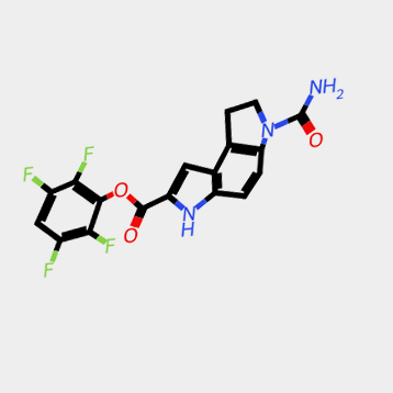 NC(=O)N1CCc2c1ccc1[nH]c(C(=O)Oc3c(F)c(F)cc(F)c3F)cc21